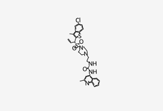 C=CC(c1sc2ccc(Cl)cc2c1C)S(=O)(=O)N1CCN(CCNC(=O)Nc2cc(C)nc3ccccc23)CC1